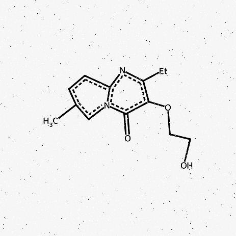 CCc1nc2ccc(C)cn2c(=O)c1OCCO